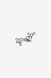 O=C1CC2C(OC[C@]3(O)CCN(c4c(F)cc(Cl)cc4F)C[C@H]3O)=CC=C(Cl)C2N1